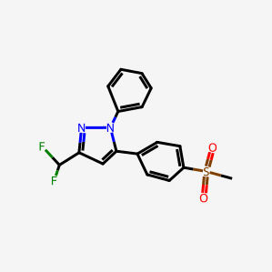 CS(=O)(=O)c1ccc(-c2cc(C(F)F)nn2-c2ccccc2)cc1